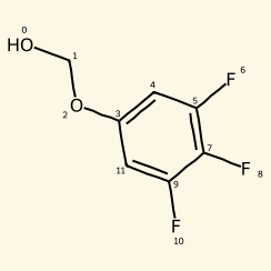 OCOc1cc(F)c(F)c(F)c1